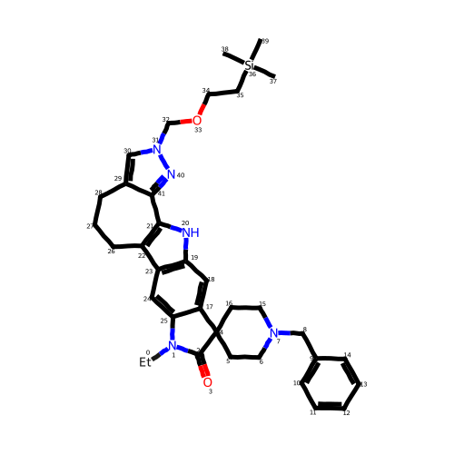 CCN1C(=O)C2(CCN(Cc3ccccc3)CC2)c2cc3[nH]c4c(c3cc21)CCCc1cn(COCC[Si](C)(C)C)nc1-4